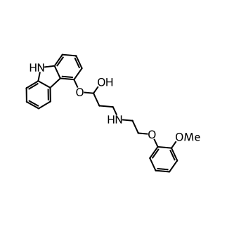 COc1ccccc1OCCNCCC(O)Oc1cccc2[nH]c3ccccc3c12